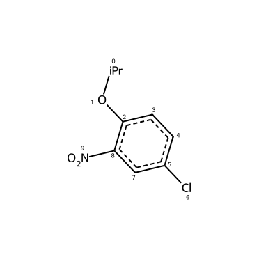 CC(C)Oc1ccc(Cl)cc1[N+](=O)[O-]